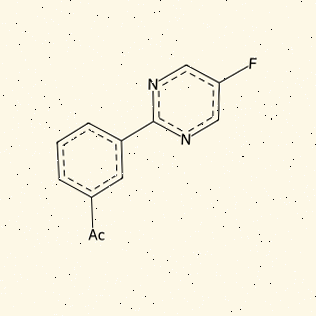 CC(=O)c1cccc(-c2ncc(F)cn2)c1